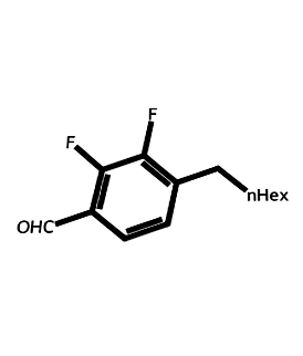 CCCCCCCc1ccc(C=O)c(F)c1F